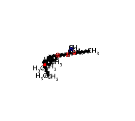 CCCCCCCCOC[C@@H](CN(C)C)OCCCCOC1CC[C@@]2(C)C(=CC[C@H]3[C@@H]4CC[C@H]([C@H](C)CCCC(C)C)[C@@]4(C)CC[C@@H]32)C1